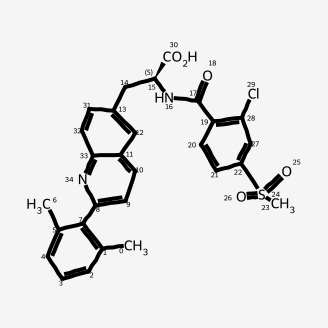 Cc1cccc(C)c1-c1ccc2cc(C[C@H](NC(=O)c3ccc(S(C)(=O)=O)cc3Cl)C(=O)O)ccc2n1